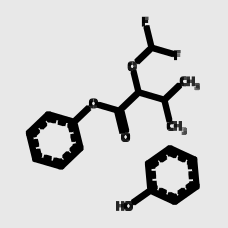 CC(C)C(OC(F)F)C(=O)Oc1ccccc1.Oc1ccccc1